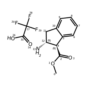 COC(=O)[C@@H]1c2ccccc2C[C@H]1N.O=C(O)C(F)(F)F